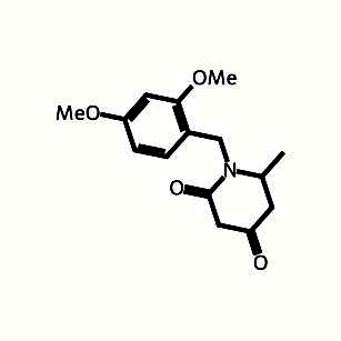 COc1ccc(CN2C(=O)CC(=O)CC2C)c(OC)c1